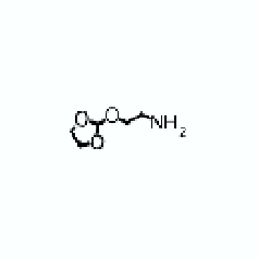 NCCOC1OCCO1